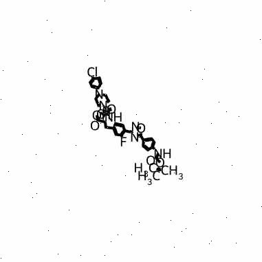 CC(C)(C)OC(=O)Nc1ccc(-c2nc(-c3ccc(CC(NS(=O)(=O)N4CCN(c5ccc(Cl)cc5)CC4)C(=O)O)cc3F)no2)cc1